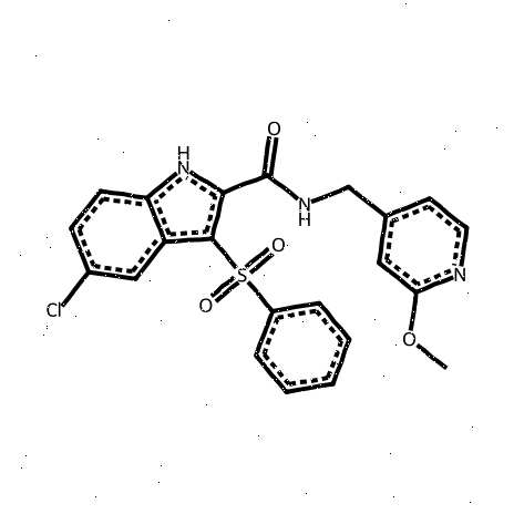 COc1cc(CNC(=O)c2[nH]c3ccc(Cl)cc3c2S(=O)(=O)c2ccccc2)ccn1